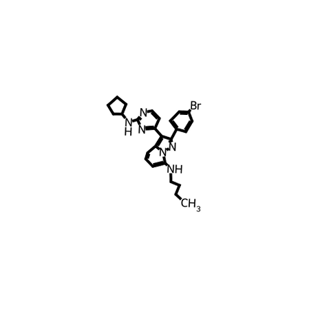 CCCCNc1cccc2c(-c3ccnc(NC4CCCC4)n3)c(-c3ccc(Br)cc3)nn12